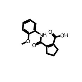 COc1ccccc1NC(=O)C1=C(C(=O)O)CCC1